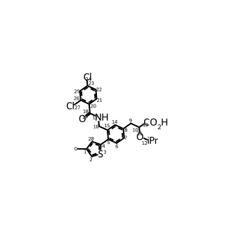 Cc1csc(-c2ccc(CC(OC(C)C)C(=O)O)cc2CNC(=O)c2ccc(Cl)cc2Cl)c1